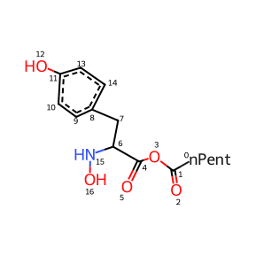 CCCCCC(=O)OC(=O)C(Cc1ccc(O)cc1)NO